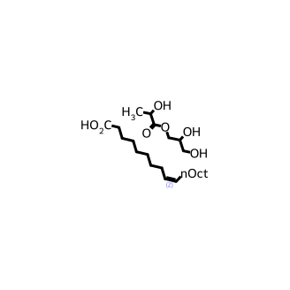 CC(O)C(=O)OCC(O)CO.CCCCCCCC/C=C\CCCCCCCC(=O)O